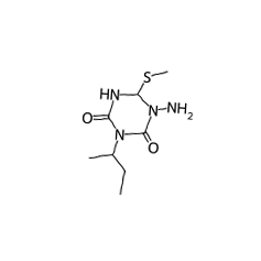 CCC(C)N1C(=O)NC(SC)N(N)C1=O